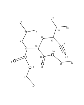 CCOC(=O)C(CC(C)C)C(CC(C#N)C(C)C)C(=O)OCC